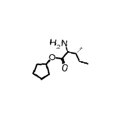 CC[C@@H](C)[C@H](N)C(=O)OC1CCCC1